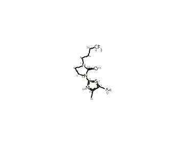 CC(=O)c1sc(N2CCN(CCCC(F)(F)F)C2=O)nc1C